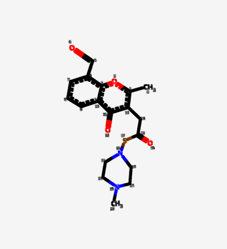 Cc1oc2c(C=O)cccc2c(=O)c1CC(=O)SN1CCN(C)CC1